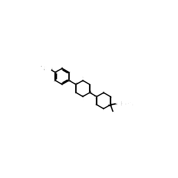 CCCCCC1(C)CCC(C2CCC(c3ccc(C#N)cc3)CC2)CC1